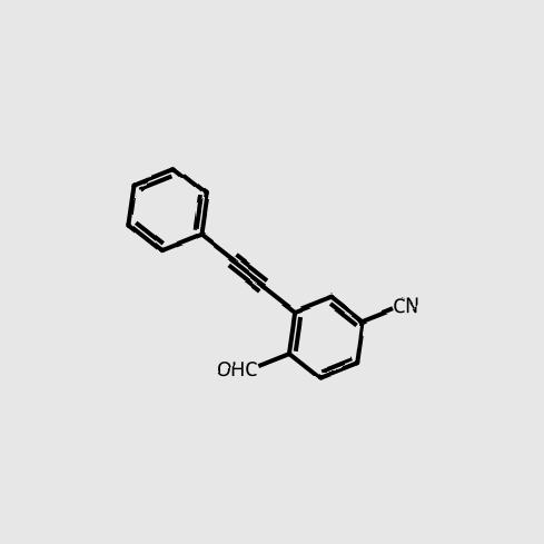 N#Cc1ccc(C=O)c(C#Cc2ccccc2)c1